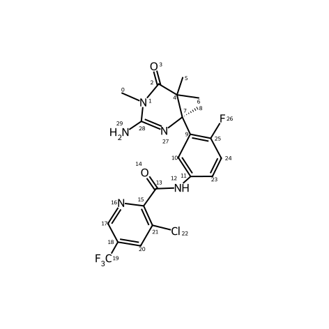 CN1C(=O)C(C)(C)[C@@](C)(c2cc(NC(=O)c3ncc(C(F)(F)F)cc3Cl)ccc2F)N=C1N